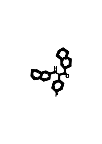 O=C(c1ccc2ccccc2c1)[C@@H](Nc1ccc2ccccc2c1)c1ccc(F)cc1